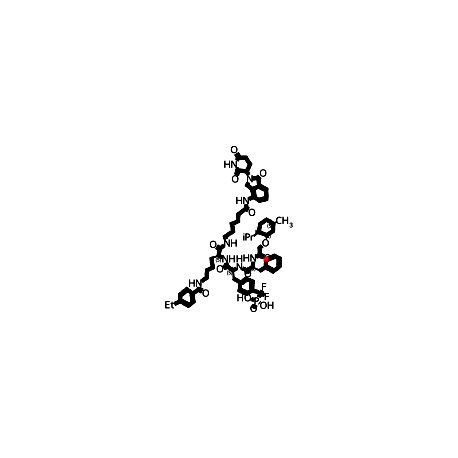 CCc1ccc(C(=O)NCCCC[C@H](NC(=O)[C@H](Cc2ccc(C(F)(F)P(=O)(O)O)cc2)NC(=O)[C@H](Cc2ccccc2)NC(=O)CO[C@H]2C[C@@H](C)CC[C@@H]2C(C)C)C(=O)NCCCCCC(=O)Nc2cccc3c2CN(C2CCC(=O)NC2=O)C3=O)cc1